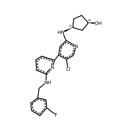 O[C@@H]1CC[C@H](Nc2cc(-c3cccc(NCc4cccc(F)c4)n3)c(Cl)cn2)C1